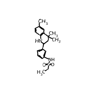 CCS(=O)(=O)Nc1cccc(C2CC(C)(C)c3cc(C)ccc3N2)c1